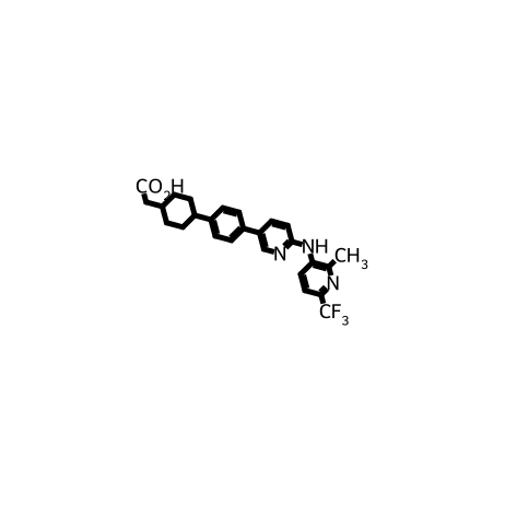 Cc1nc(C(F)(F)F)ccc1Nc1ccc(-c2ccc(C3CCC(CC(=O)O)CC3)cc2)cn1